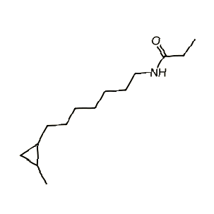 CCC(=O)NCCCCCCCC1CC1C